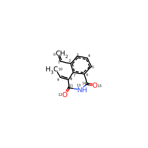 C=Cc1cccc2c1/C(=C\C)C(=O)NC2=O